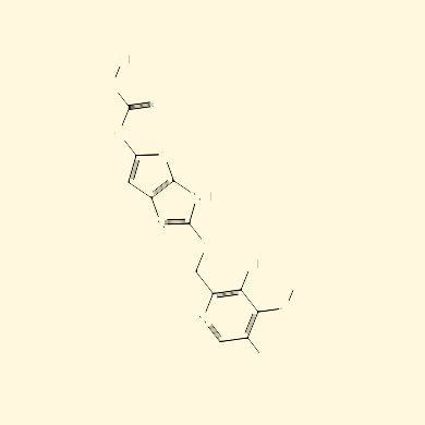 COC(=O)Oc1cc2nc(SCc3ncc(C)c(OC)c3C)[nH]c2s1